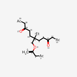 C=C(CC(C)=O)OCC(CC)(CCC(=O)CC(C)=O)CCC(=O)CC(C)=O